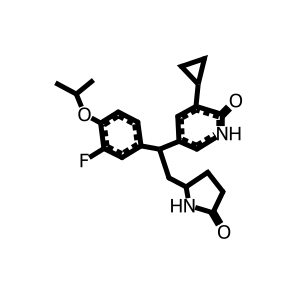 CC(C)Oc1ccc(C(CC2CCC(=O)N2)c2c[nH]c(=O)c(C3CC3)c2)cc1F